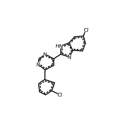 Clc1cccc(-c2cc(-c3nc4ccc(Cl)cc4[nH]3)ncn2)c1